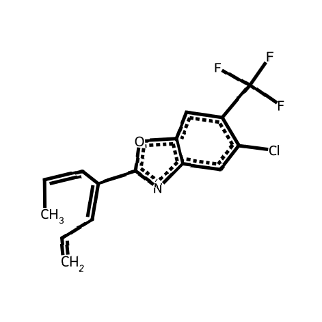 C=C/C=C(\C=C/C)c1nc2cc(Cl)c(C(F)(F)F)cc2o1